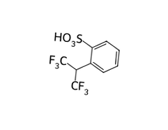 O=S(=O)(O)c1ccccc1C(C(F)(F)F)C(F)(F)F